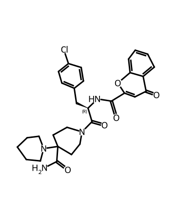 NC(=O)C1(N2CCCCC2)CCN(C(=O)[C@@H](Cc2ccc(Cl)cc2)NC(=O)c2cc(=O)c3ccccc3o2)CC1